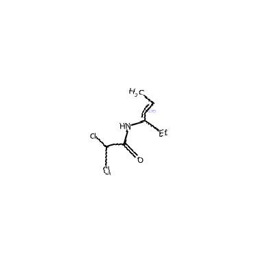 C/C=C(/CC)NC(=O)C(Cl)Cl